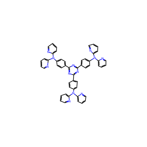 c1ccc(N(c2ccc(-c3nc(-c4ccc(N(c5ccccn5)c5ccccn5)cc4)nc(-c4ccc(N(c5ccccn5)c5ccccn5)cc4)n3)cc2)c2ccccn2)nc1